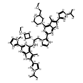 COCC1CN(c2nc(-c3nccn3CC(Nc3nc(-c4nccn4C)nc4sc(-c5ccn(C(C)C)n5)c(C)c34)[C@H]3C[C@@H](OC)C3)nc3sc(-c4ccn(C(C)C)n4)c(C)c23)CCO1